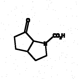 O=C1CCC2CCN(C(=O)O)C12